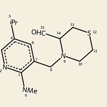 CNc1ncc(C(C)C)cc1CN1CCSCC1C=O